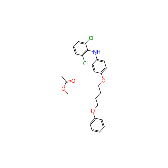 COC(C)=O.Clc1cccc(Cl)c1Nc1ccc(OCCCCOc2ccccc2)cc1